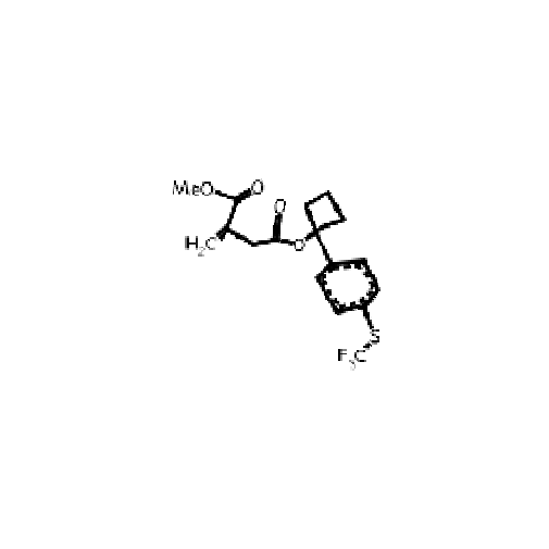 C=C(CC(=O)OC1(c2ccc(SC(F)(F)F)cc2)CCC1)C(=O)OC